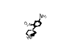 Nc1ccc(N2CCNCC2)c([N+](=O)[O-])c1